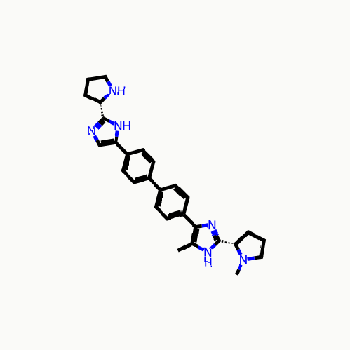 Cc1[nH]c([C@@H]2CCCN2C)nc1-c1ccc(-c2ccc(-c3cnc([C@@H]4CCCN4)[nH]3)cc2)cc1